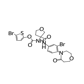 O=C(NC1(C(=O)Nc2ccc(N3CCOCCC3=O)c(Br)c2)CCOC1)Oc1ccc(Br)s1